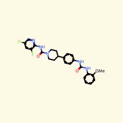 COc1ccccc1NC(=O)Nc1ccc(C2CCN(C(=O)Nc3ncc(F)cc3F)CC2)cc1